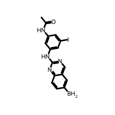 Bc1ccc2nc(Nc3cc(I)cc(NC(C)=O)c3)ncc2c1